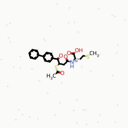 CSCC[C@H](NC(=O)CC(SC(C)=O)C(=O)c1ccc(-c2ccccc2)cc1)C(=O)O